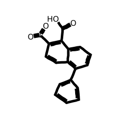 O=C(O)c1c(I(=O)=O)ccc2c(-c3ccccc3)cccc12